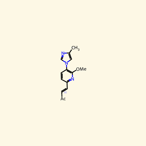 COc1nc(/C=C/C(C)=O)ccc1-n1cnc(C)c1